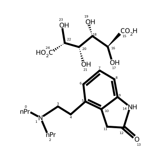 CCCN(CCC)CCc1cccc2c1CC(=O)N2.O=C(O)[C@@H](O)[C@@H](O)[C@H](O)[C@@H](O)C(=O)O